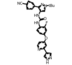 CC(C)(C)n1cc(NC(=O)Nc2ccc(Oc3ccnc(-c4cn[nH]c4)c3)cc2F)c(-c2ccc(C#N)cc2)n1